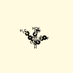 CN1CCC(c2ccc(C(=O)Nc3n[nH]c4ccc([S+]([O-])Cc5cc(F)ccc5F)nc34)c(NC3CCOCC3)c2)CC1.O=C(O)C(F)(F)F